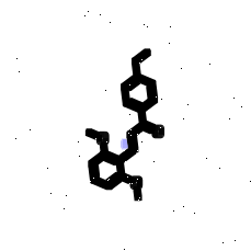 CCc1ccc(C(=O)/C=C/c2c(OC)cccc2OC)cc1